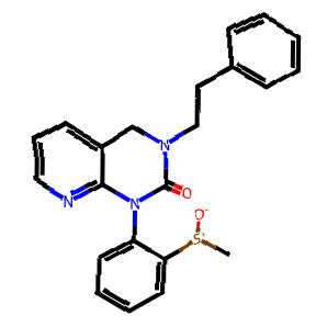 C[S+]([O-])c1ccccc1N1C(=O)N(CCc2ccccc2)Cc2cccnc21